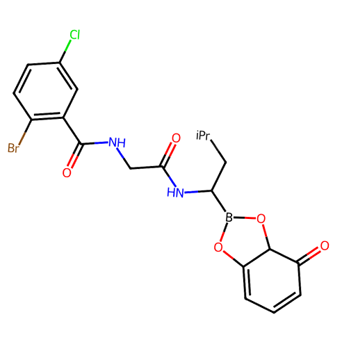 CC(C)CC(NC(=O)CNC(=O)c1cc(Cl)ccc1Br)B1OC2=CC=CC(=O)C2O1